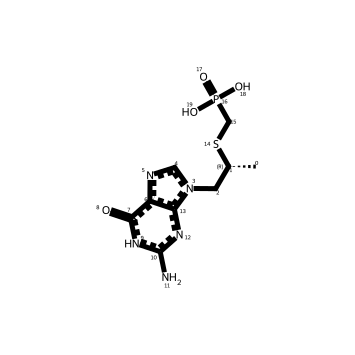 C[C@H](Cn1cnc2c(=O)[nH]c(N)nc21)SCP(=O)(O)O